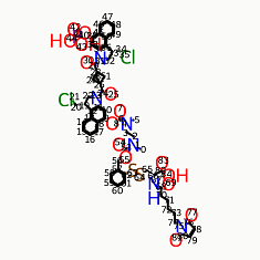 CN(CCN(C)C(=O)Oc1cc2c(c3ccccc13)[C@H](CCl)CN2C(=O)C12CC(C(=O)N3C[C@@H](CCl)c4c3cc(OP(=O)(O)O)c3ccccc43)(C1)C2)C(=O)OCc1ccccc1SSC[C@H](NC(=O)CCCCCN1C(=O)C=CC1=O)C(=O)O